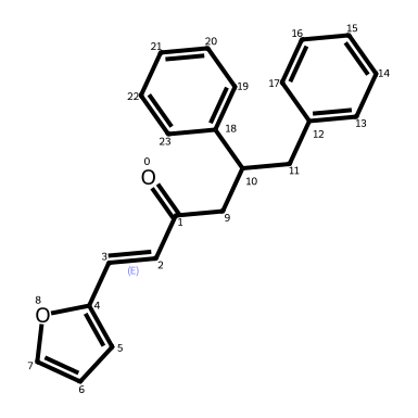 O=C(/C=C/c1ccco1)CC(Cc1ccccc1)c1ccccc1